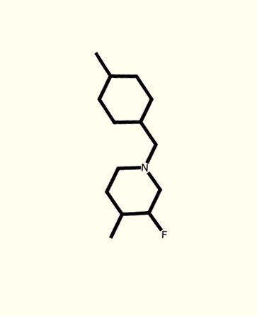 CC1CCC(CN2CCC(C)C(F)C2)CC1